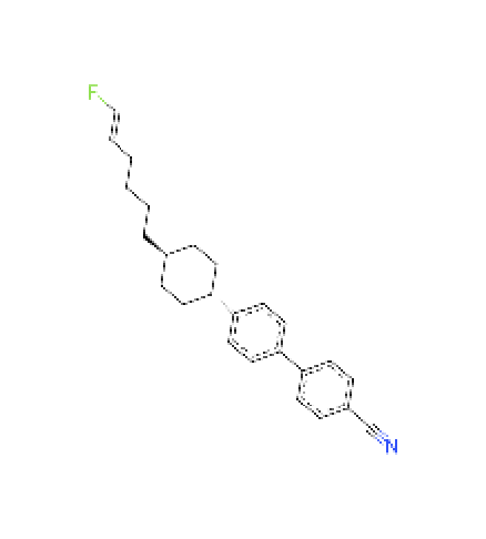 N#Cc1ccc(-c2ccc([C@H]3CC[C@H](CCCC/C=C/F)CC3)cc2)cc1